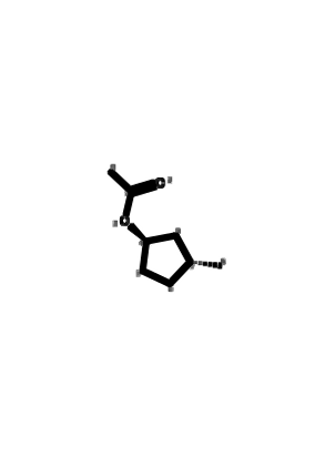 CC(=O)O[C@@H]1CC[C@@H](C)C1